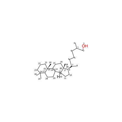 CC(CO)CCCC(C)[C@H]1CC[C@H]2C3=C(CC[C@]12C)[C@@]1(C)CCCC(C)(C)C1CC3